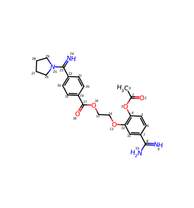 CC(=O)Oc1ccc(C(=N)N)cc1OCCOC(=O)c1ccc(C(=N)N2CCCC2)cc1